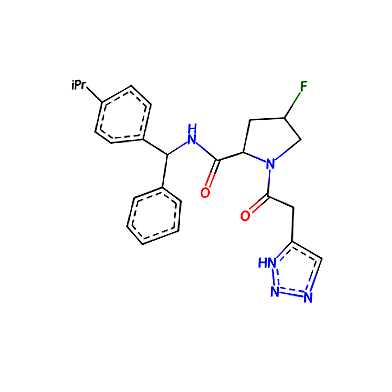 CC(C)c1ccc(C(NC(=O)C2CC(F)CN2C(=O)Cc2cnn[nH]2)c2ccccc2)cc1